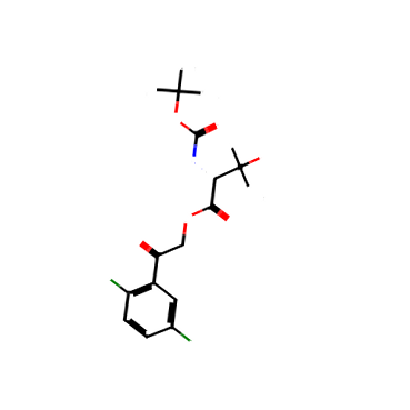 CC(C)(C)OC(=O)N[C@@H](C(=O)OCC(=O)c1cc(F)ccc1F)C(C)(C)O